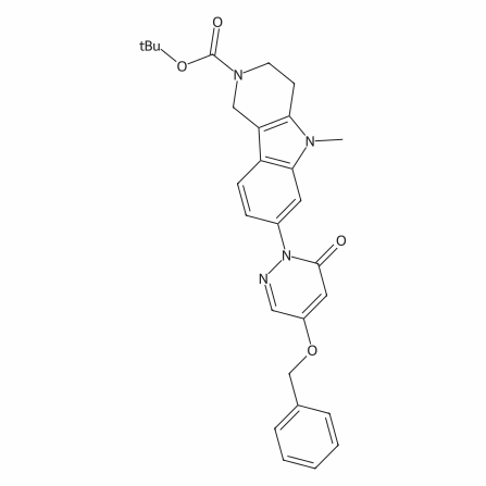 Cn1c2c(c3ccc(-n4ncc(OCc5ccccc5)cc4=O)cc31)CN(C(=O)OC(C)(C)C)CC2